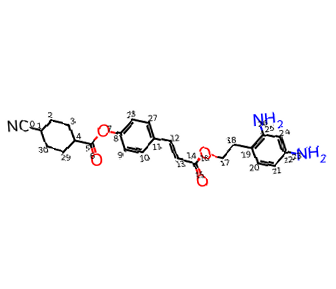 N#CC1CCC(C(=O)Oc2ccc(C=CC(=O)OCCc3ccc(N)cc3N)cc2)CC1